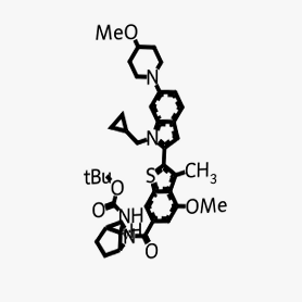 COc1cc(C(=O)N2CC3CCC2[C@@H]3NC(=O)OC(C)(C)C)cc2sc(-c3cc4ccc(N5CCC(OC)CC5)cc4n3CC3CC3)c(C)c12